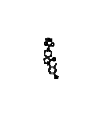 Cc1cc(Br)ccc1N1CCC2(CCN(C(=O)OC(C)(C)C)CC2)C1=O